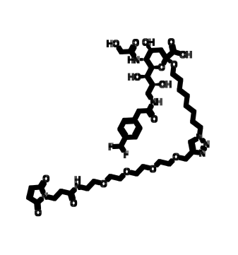 O=C(CCN1C(=O)C=CC1=O)NCCOCCOCCOCCOCc1cn(CCCCCCCCO[C@]2(C(=O)O)C[C@H](O)[C@@H](NC(=O)CO)[C@H]([C@H](O)[C@H](O)CNC(=O)Cc3ccc(C(F)F)cc3)O2)nn1